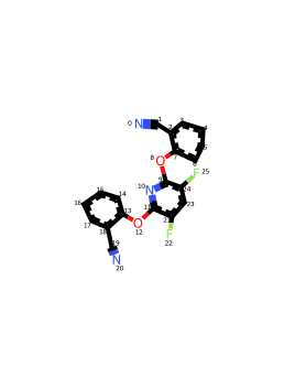 N#Cc1ccccc1Oc1nc(Oc2ccccc2C#N)c(F)cc1F